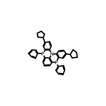 c1ccc(P2c3cc(C4CCCC4)ccc3N3c4ccc(C5CCCC5)cc4P(c4ccccc4)c4cccc2c43)cc1